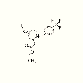 CCOC(=O)CC1CN(SI)CCN1Cc1ccc(C(F)(F)F)cc1